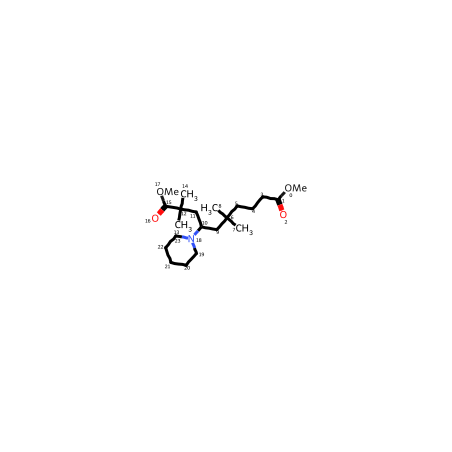 COC(=O)CCCC(C)(C)CC(CC(C)(C)C(=O)OC)N1CCCCC1